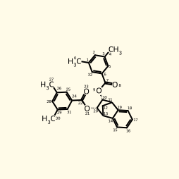 Cc1cc(C)cc(C(=O)O[C@@H]2C3CC(c4ccccc43)[C@@H]2OC(=O)c2cc(C)cc(C)c2)c1